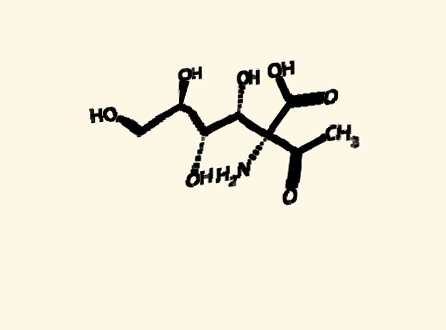 CC(=O)[C@](N)(C(=O)O)[C@@H](O)[C@H](O)[C@H](O)CO